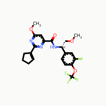 COC[C@@H](NC(=O)c1cc(OC)nc(C2=CCCC2)n1)c1ccc(OC(F)(F)F)c(F)c1